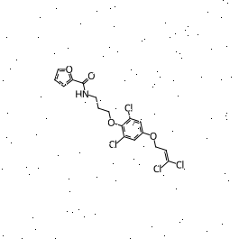 O=C(NCCCOc1c(Cl)cc(OCC=C(Cl)Cl)cc1Cl)c1ccco1